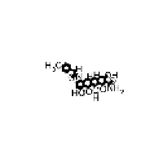 Cc1ccc(CC(=O)Nc2ccc(O)c3c2C[C@H]2C[C@H]4CC(O)=C(C(N)=O)C(=O)C4C(O)=C2C3=O)cc1